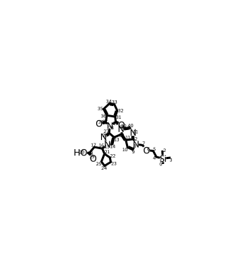 C[Si](C)(C)CCOCn1ccc2c(-c3cn(C(CC(=O)O)C4CCCC4)nc3N3C(=O)c4ccccc4C3=O)ncnc21